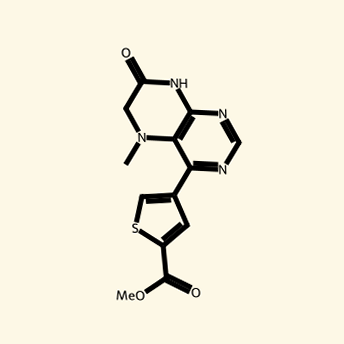 COC(=O)c1cc(-c2ncnc3c2N(C)CC(=O)N3)cs1